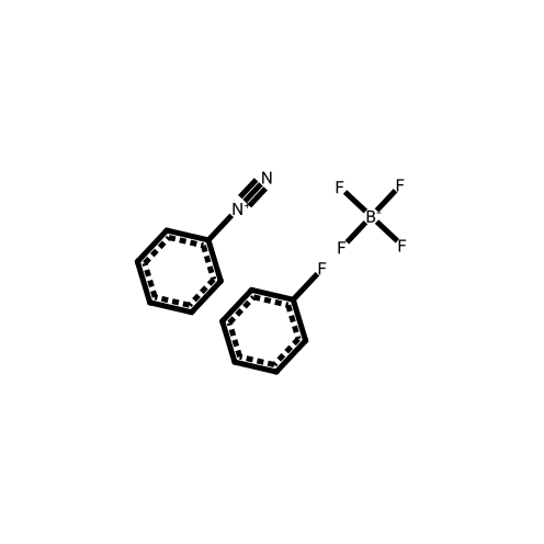 F[B-](F)(F)F.Fc1ccccc1.N#[N+]c1ccccc1